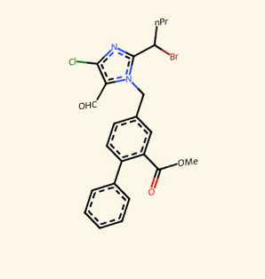 CCCC(Br)c1nc(Cl)c(C=O)n1Cc1ccc(-c2ccccc2)c(C(=O)OC)c1